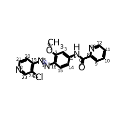 COc1cc(NC(=O)c2ccccn2)ccc1/N=N/c1ccncc1Cl